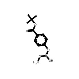 CC(C)(C)OC(=O)c1ccc(OB(O)ON)cc1